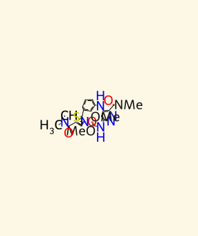 CNC(=O)c1nnc(NC(=O)OC)cc1Nc1cccc(-c2ncc(C(=O)N(C)C)s2)c1OC